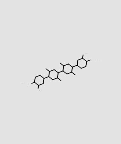 CC1CC(C2CC(C)C(C3CCC(C(=O)O)C(O)C3)CC2C)C(C)CC1C1CCC(C(=O)O)C(O)C1